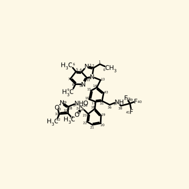 CCc1nc2c(C)cc(C)nc2n1Cc1ccc(-c2ccccc2S(=O)(=O)Nc2noc(C)c2C)c(CNCC(F)(F)F)c1